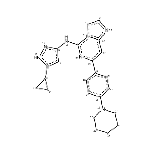 c1cn2c(Nc3cc(C4CC4)[nH]n3)nc(-c3ccc(N4CCCCC4)cc3)cc2n1